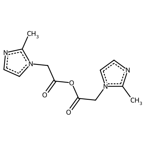 Cc1nccn1CC(=O)OC(=O)Cn1ccnc1C